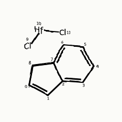 [C]1=Cc2ccccc2C1.[Cl][Hf][Cl]